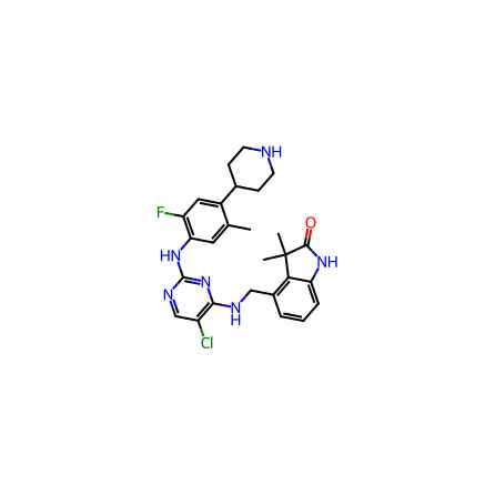 Cc1cc(Nc2ncc(Cl)c(NCc3cccc4c3C(C)(C)C(=O)N4)n2)c(F)cc1C1CCNCC1